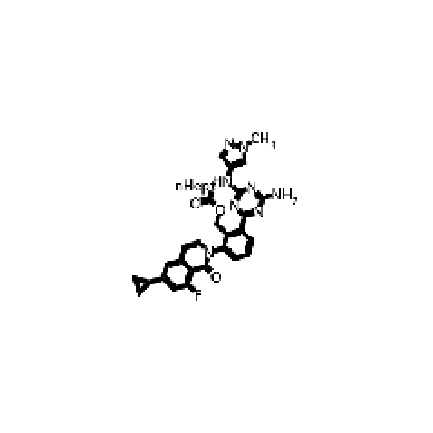 CCCCCCCC(=O)OCc1c(-c2nc(N)nc(Nc3cnn(C)c3)n2)cccc1-n1ccc2cc(C3CC3)cc(F)c2c1=O